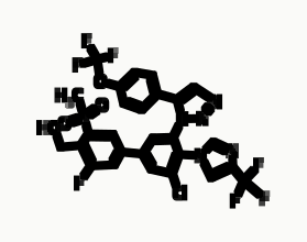 CS(=O)(=O)c1cc(-c2cc(Cl)c(-n3cnc(C(F)(F)F)c3)c(-n3nncc3-c3ccc(OC(F)(F)F)cc3)c2)cc(F)c1CO